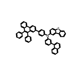 c1ccc(-c2c(-c3ccccc3)c3cc(-c4ccc(N(c5cccc(-c6cccc7ccccc67)c5)c5ccc6sc7ccccc7c6c5)cc4)ccc3c3ccccc23)cc1